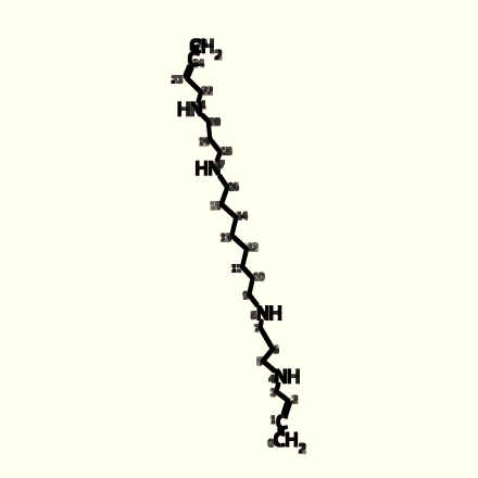 C=C=CCNCCCNCCCCCCCCNCCCNCC=C=C